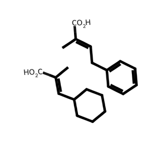 CC(=CC1CCCCC1)C(=O)O.CC(=CCc1ccccc1)C(=O)O